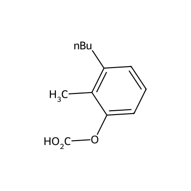 CCCCc1cccc(OC(=O)O)c1C